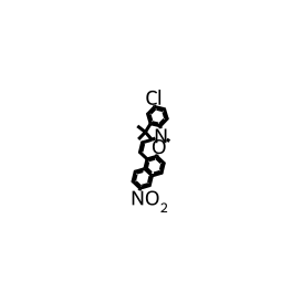 CN1c2ccc(Cl)cc2C(C)(C)C12C=Cc1c(ccc3cc([N+](=O)[O-])ccc13)O2